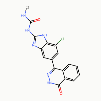 CCNC(=O)Nc1nc2cc(-c3n[nH]c(=O)c4ccccc34)cc(Cl)c2[nH]1